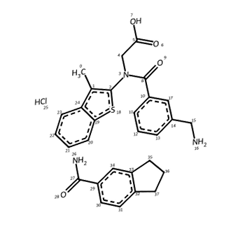 Cc1c(N(CC(=O)O)C(=O)c2cccc(CN)c2)sc2ccccc12.Cl.NC(=O)c1ccc2c(c1)CCC2